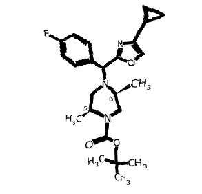 C[C@H]1CN(C(c2ccc(F)cc2)c2nc(C3CC3)co2)[C@@H](C)CN1C(=O)OC(C)(C)C